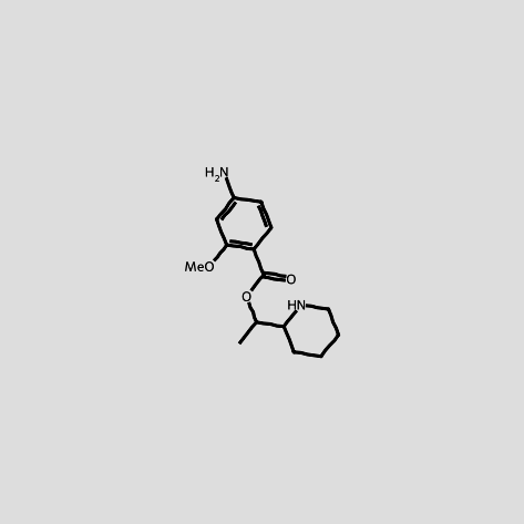 COc1cc(N)ccc1C(=O)OC(C)C1CCCCN1